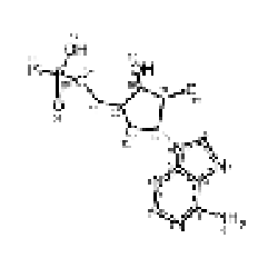 Nc1ncnc2c1ncn2[C@@H]1OC(COP(=O)(O)S)[C@@H](O)[C@H]1Cl